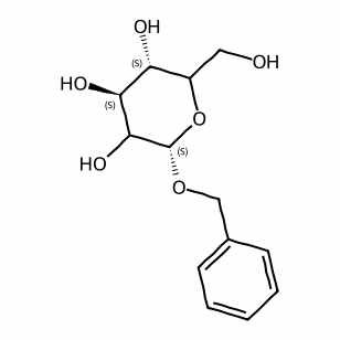 OCC1O[C@H](OCc2ccccc2)C(O)[C@@H](O)[C@@H]1O